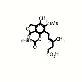 CCCCCCC(=O)Oc1c(C/C=C(\C)CCC(=O)O)c(OC)c(C)c2c1C(=O)OC2